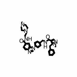 CN1CCN(CCNC(=O)c2ccc3ncn(-c4ccc(CNC(=O)c5cnn(C)c5Cc5ccccc5)cc4)c3c2)CC1